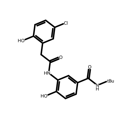 CC(C)(C)NC(=O)c1ccc(O)c(NC(=O)Cc2cc(Cl)ccc2O)c1